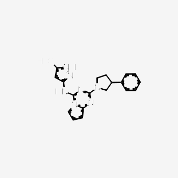 Cc1cc(Nc2nc(N3CCC(c4ccccc4)C3)nc3cccn23)n[nH]1